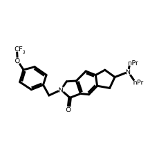 CCCN(CCC)C1Cc2cc3c(cc2C1)C(=O)N(Cc1ccc(OC(F)(F)F)cc1)C3